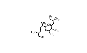 CC(C)CC(C)CCC(C)C(C)OC(C)C(C)CCC(C)CC(C)C